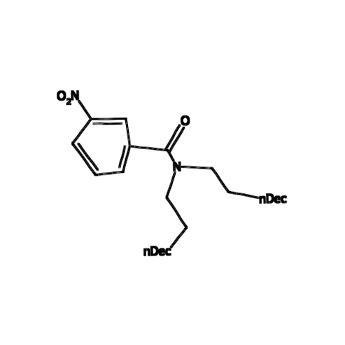 CCCCCCCCCCCCN(CCCCCCCCCCCC)C(=O)c1cccc([N+](=O)[O-])c1